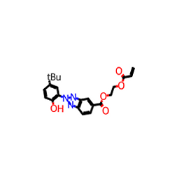 C=CC(=O)OCCOC(=O)c1ccc2c(c1)n1n(-c3cc(C(C)(C)C)ccc3O)n21